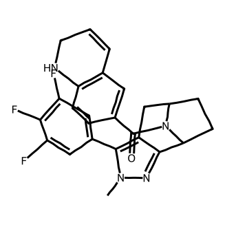 Cn1nc2c(c1-c1cc(F)c(F)c(F)c1)CC1CCC2N1C(=O)c1ccc2c(c1)C=CCN2